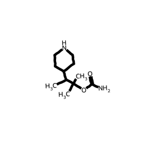 CC(C1CCNCC1)C(C)(C)OC(N)=O